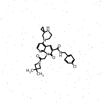 CC1(C)CN(C(=O)Cn2c(=O)c(C(=O)NCc3ccc(Cl)cc3)cc3c(N4CCNC5(CC5)C4)ccnc32)C1